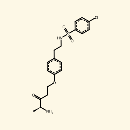 C[C@H](N)C(=O)CCOc1ccc(CCNS(=O)(=O)c2ccc(Cl)cc2)cc1